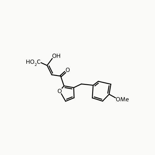 COc1ccc(Cc2ccoc2C(=O)/C=C(\O)C(=O)O)cc1